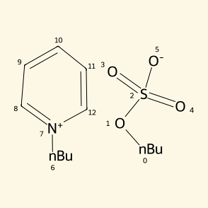 CCCCOS(=O)(=O)[O-].CCCC[n+]1ccccc1